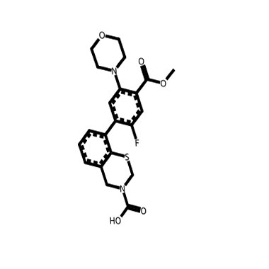 COC(=O)c1cc(F)c(-c2cccc3c2SCN(C(=O)O)C3)cc1N1CCOCC1